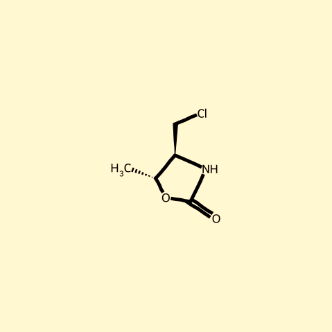 C[C@H]1OC(=O)N[C@@H]1CCl